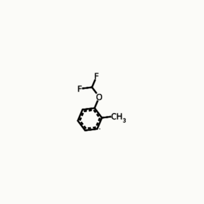 Cc1[c]cccc1OC(F)F